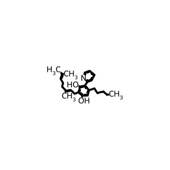 CCCCCc1cc(O)c(C/C=C(\C)CCC=C(C)C)c(O)c1-c1ccccn1